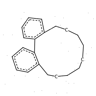 c1ccc2c(c1)CCCCCCCCCc1ccccc1-2